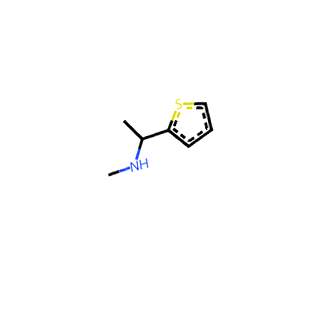 CNC(C)c1cccs1